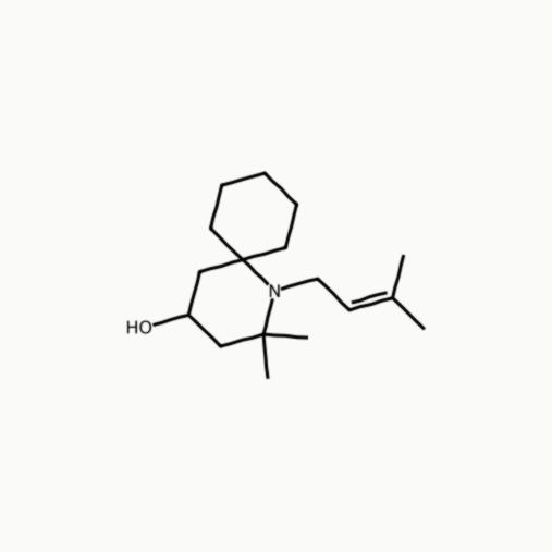 CC(C)=CCN1C(C)(C)CC(O)CC12CCCCC2